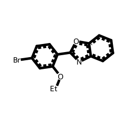 CCOc1cc(Br)ccc1-c1nc2ccccc2o1